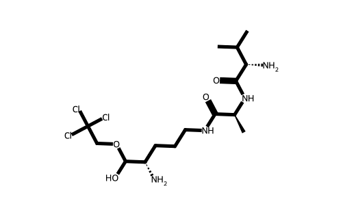 CC(C)[C@H](N)C(=O)N[C@@H](C)C(=O)NCCC[C@H](N)C(O)OCC(Cl)(Cl)Cl